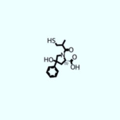 CC(CS)C(=O)N1CC(O)(c2ccccc2)C[C@H]1C(=O)O